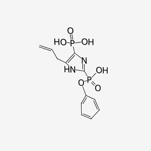 C=CCc1[nH]c(P(=O)(O)Oc2ccccc2)nc1P(=O)(O)O